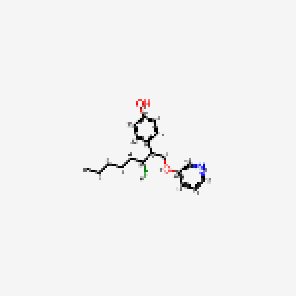 CCCCCC(F)C(COc1cccnc1)c1ccc(O)cc1